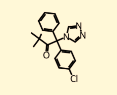 CC(C)(C)C(=O)C(c1ccccc1)(c1ccc(Cl)cc1)n1cnnc1